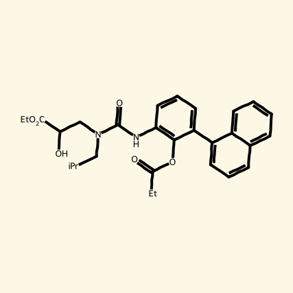 CCOC(=O)C(O)CN(CC(C)C)C(=O)Nc1cccc(-c2cccc3ccccc23)c1OC(=O)CC